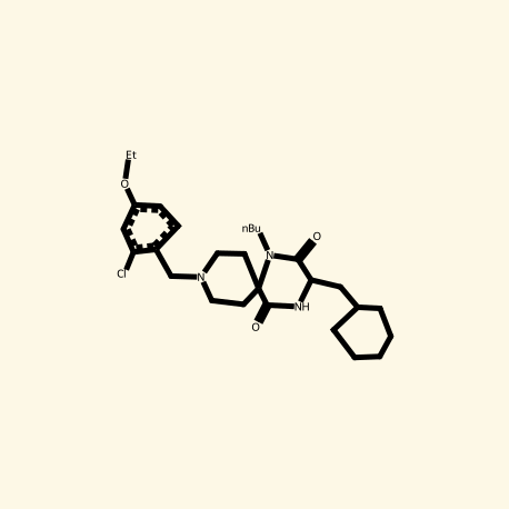 CCCCN1C(=O)C(CC2CCCCC2)NC(=O)C12CCN(Cc1ccc(OCC)cc1Cl)CC2